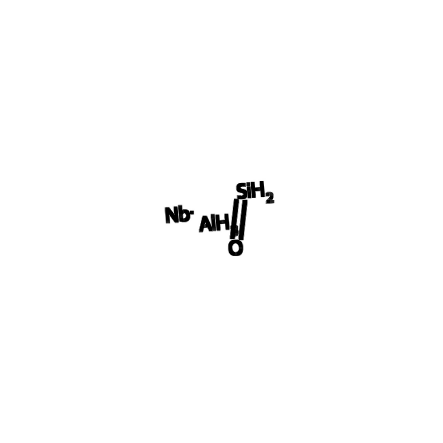 O=[SiH2].[AlH3].[Nb]